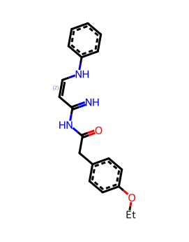 CCOc1ccc(CC(=O)NC(=N)/C=C\Nc2ccccc2)cc1